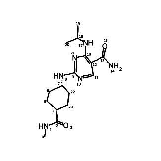 CNC(=O)[C@H]1CC[C@H](Nc2ncc(C(N)=O)c(NC(C)C)n2)CC1